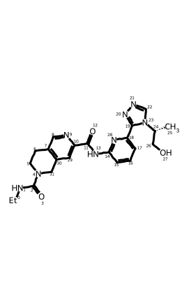 CCNC(=O)N1CCc2cnc(C(=O)Nc3cccc(-c4nncn4[C@H](C)CO)n3)cc2C1